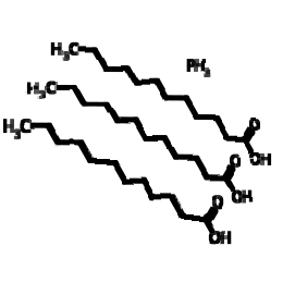 CCCCCCCCCCCC(=O)O.CCCCCCCCCCCC(=O)O.CCCCCCCCCCCC(=O)O.P